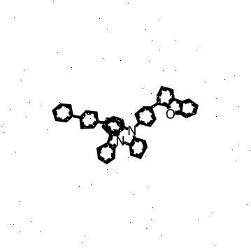 c1ccc(-c2ccc(-c3ccc(N(c4ccc(-c5cccc6c5oc5ccccc56)cc4)c4ccccc4-n4c5ccccc5c5ccccc54)cc3)cc2)cc1